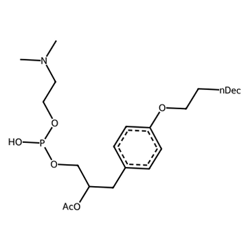 CCCCCCCCCCCCOc1ccc(CC(COP(O)OCCN(C)C)OC(C)=O)cc1